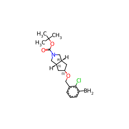 Bc1cccc(CO[C@H]2C[C@@H]3CN(C(=O)OC(C)(C)C)C[C@@H]3C2)c1Cl